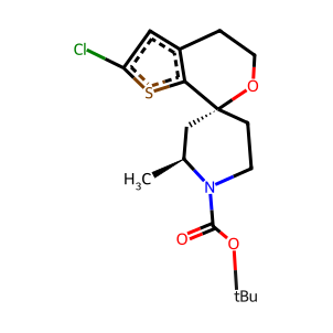 C[C@H]1C[C@@]2(CCN1C(=O)OC(C)(C)C)OCCc1cc(Cl)sc12